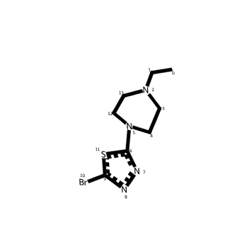 CCN1CCN(c2nnc(Br)s2)CC1